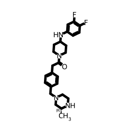 C[C@@H]1CN(Cc2ccc(CC(=O)N3CCC(Nc4ccc(F)c(F)c4)CC3)cc2)CCN1